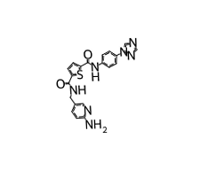 Nc1ccc(CNC(=O)c2ccc(C(=O)Nc3ccc(-n4cncn4)cc3)s2)cn1